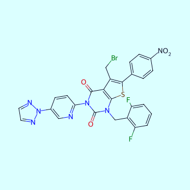 O=c1c2c(CBr)c(-c3ccc([N+](=O)[O-])cc3)sc2n(Cc2c(F)cccc2F)c(=O)n1-c1ccc(-n2nccn2)cn1